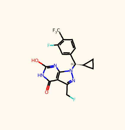 O=c1[nH]c(O)nc2c1c(CF)nn2[C@H](c1ccc(C(F)(F)F)c(F)c1)C1CC1